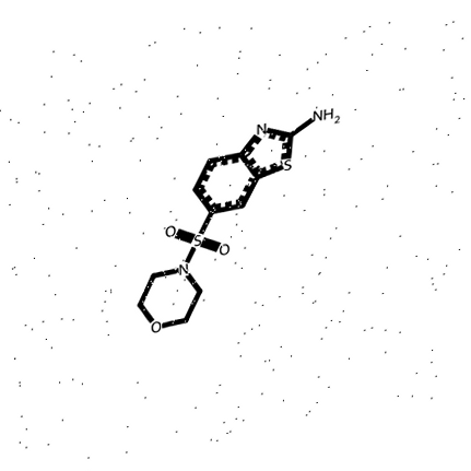 Nc1nc2ccc(S(=O)(=O)N3CCOCC3)cc2s1